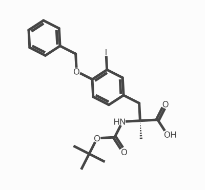 CC(C)(C)OC(=O)N[C@@](C)(Cc1ccc(OCc2ccccc2)c(I)c1)C(=O)O